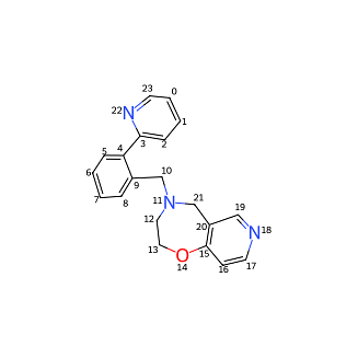 c1ccc(-c2ccccc2CN2CCOc3ccncc3C2)nc1